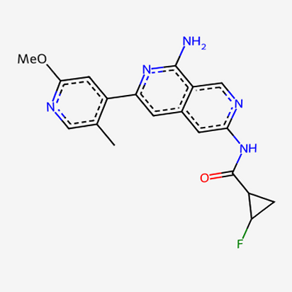 COc1cc(-c2cc3cc(NC(=O)C4CC4F)ncc3c(N)n2)c(C)cn1